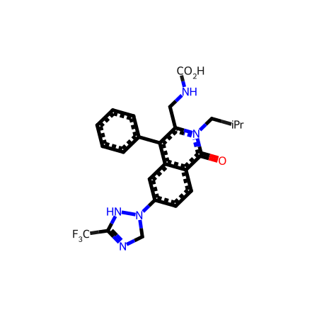 CC(C)Cn1c(CNC(=O)O)c(-c2ccccc2)c2cc(N3CN=C(C(F)(F)F)N3)ccc2c1=O